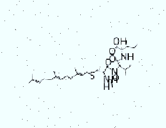 CC[C@H](C)[C@H](NC(=O)[C@@H](NC(=O)[C@@H](CSC/C=C(\C)CC/C=C(\C)CCC=C(C)C)NC(C)=O)C(C)C)C(=O)O